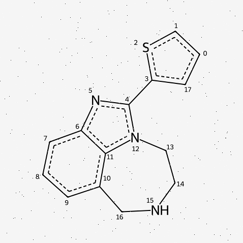 c1csc(-c2nc3cccc4c3n2CCNC4)c1